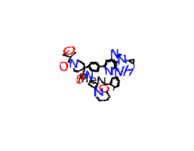 CNC(=O)c1cc(Nc2nc(-c3ccc4c(c3)N([C@H]3C[C@@H](N5CCCCC5)C3)C(=O)C43CCN(C(=O)C4COC4)CC3)cc3ncn(C4CC4)c23)ccc1C